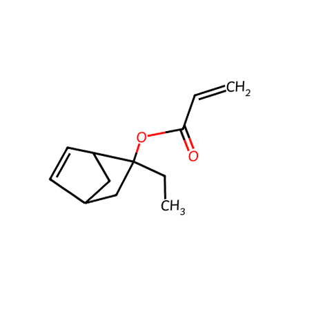 C=CC(=O)OC1(CC)CC2C=CC1C2